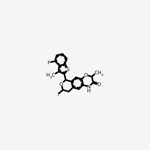 Cc1c(C2OC(I)Cc3cc4c(cc32)OC(C)C(=O)N4)sc2cccc(F)c12